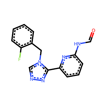 O=CNc1cccc(-c2nncn2Cc2ccccc2F)n1